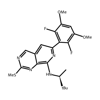 COc1cc(OC)c(F)c(-c2cc3cnc(SC)nc3c(N[C@@H](C)C(C)(C)C)n2)c1F